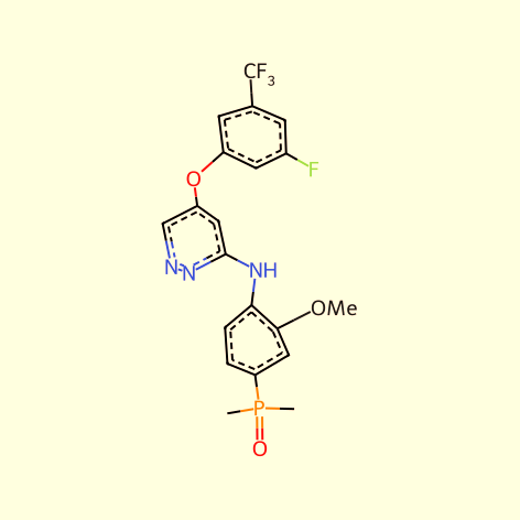 COc1cc(P(C)(C)=O)ccc1Nc1cc(Oc2cc(F)cc(C(F)(F)F)c2)cnn1